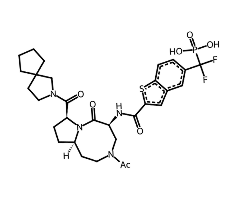 CC(=O)N1CC[C@H]2CC[C@@H](C(=O)N3CCC4(CCCC4)C3)N2C(=O)[C@@H](NC(=O)c2cc3cc(C(F)(F)P(=O)(O)O)ccc3s2)C1